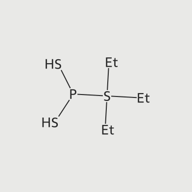 CCS(CC)(CC)P(S)S